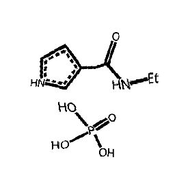 CCNC(=O)c1cc[nH]c1.O=P(O)(O)O